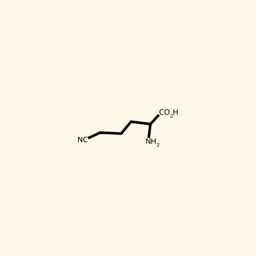 N#CCCCC(N)C(=O)O